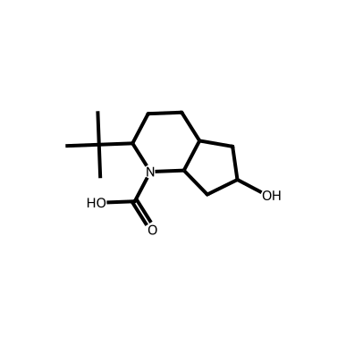 CC(C)(C)C1CCC2CC(O)CC2N1C(=O)O